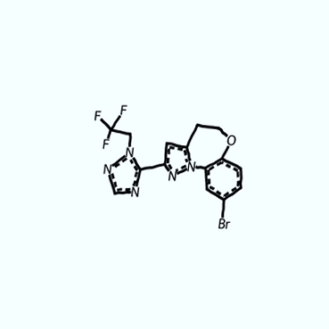 FC(F)(F)Cn1ncnc1-c1cc2n(n1)-c1cc(Br)ccc1OCC2